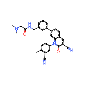 Cc1ccc(-n2c(=O)c(C#N)cc3ccc(-c4cccc(CNC(=O)CN(C)C)c4)cc32)cc1C#N